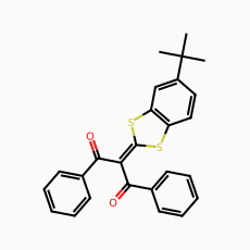 CC(C)(C)c1ccc2c(c1)SC(=C(C(=O)c1ccccc1)C(=O)c1ccccc1)S2